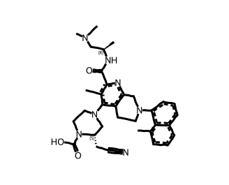 Cc1c(C(=O)N[C@H](C)CN(C)C)nc2c(c1N1CCN(C(=O)O)[C@@H](CC#N)C1)CCN(c1cccc3cccc(C)c13)C2